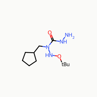 CC(C)(C)ONN(CC1CCCC1)C(=O)NN